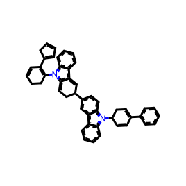 C1=CCC(C2=C(n3c4c(c5ccccc53)=CC(c3ccc5c(c3)c3ccccc3n5C3C=CC(c5ccccc5)=CC3)CC=4)CCC=C2)=C1